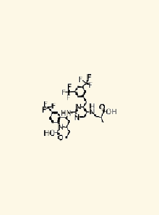 CC[C@@H]1C[C@H](Nc2ncc(NCC(C)C(=O)O)c(Cc3cc(C(F)(F)F)cc(C(F)(F)F)c3)n2)c2cc(C(F)(F)F)ccc2N1C(=O)O